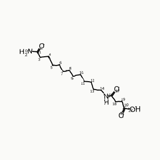 NC(=O)CCCCCCCCCCCCNC(=O)CCC(=O)O